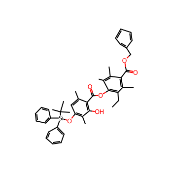 CCc1c(C)c(C(=O)OCc2ccccc2)c(C)c(C)c1OC(=O)c1c(C)cc(O[Si](c2ccccc2)(c2ccccc2)C(C)(C)C)c(C)c1O